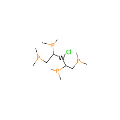 CP(C)C[CH](P(C)C)[W]([Cl])[CH](CP(C)C)P(C)C